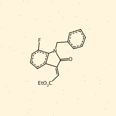 CCOC(=O)/C=C1/C(=O)N(Cc2ccccc2)c2c(F)cccc21